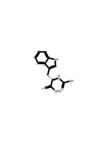 CCCC(=O)N[C@@H](Cc1c[nH]c2ccccc12)C(=O)OC